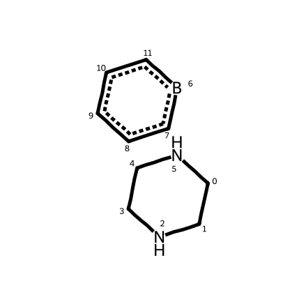 C1CNCCN1.b1ccccc1